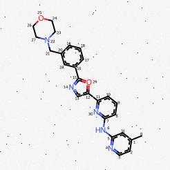 Cc1ccnc(Nc2cccc(-c3cnc(-c4cccc(CN5CCOCC5)c4)o3)n2)c1